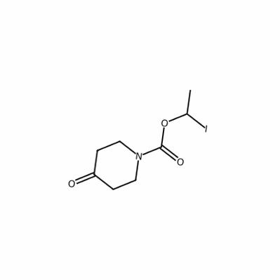 CC(I)OC(=O)N1CCC(=O)CC1